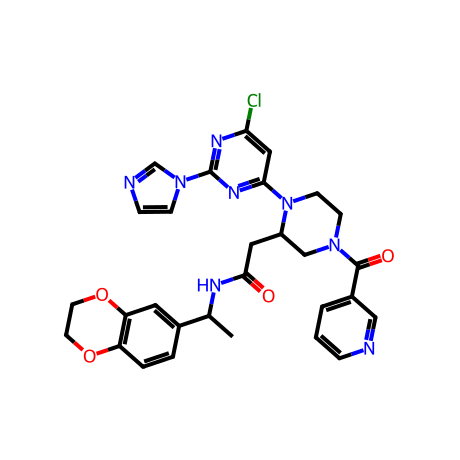 CC(NC(=O)CC1CN(C(=O)c2cccnc2)CCN1c1cc(Cl)nc(-n2ccnc2)n1)c1ccc2c(c1)OCCO2